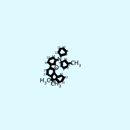 Cc1cccc(N(c2ccccc2)c2cccc3c2oc2c4c(ccc23)C(C)(C)c2ccccc2-4)c1